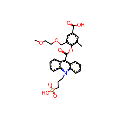 COCCOCc1cc(C(=O)O)cc(C)c1OC(=O)c1c2ccccc2[n+](CCCS(=O)(=O)O)c2ccccc12